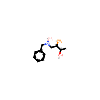 BN(Cc1ccccc1)CC(P)C(C)O